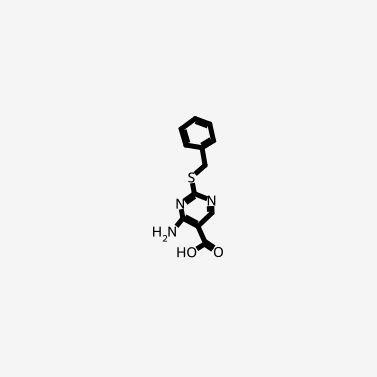 Nc1nc(SCc2ccccc2)ncc1C(=O)O